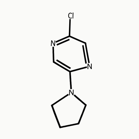 Clc1cnc(N2CCCC2)cn1